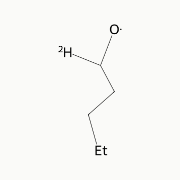 [2H]C([O])CCCC